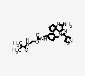 C=C(C)C(=O)NCCOC(=O)NCc1ccc(Cn2c(-c3cnsc3)nc3c(N)nc4ccccc4c32)cc1